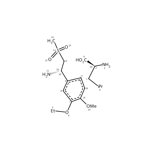 CC(C)C[C@H](N)C(=O)O.CCOc1cc([C@H](N)CS(C)(=O)=O)ccc1OC